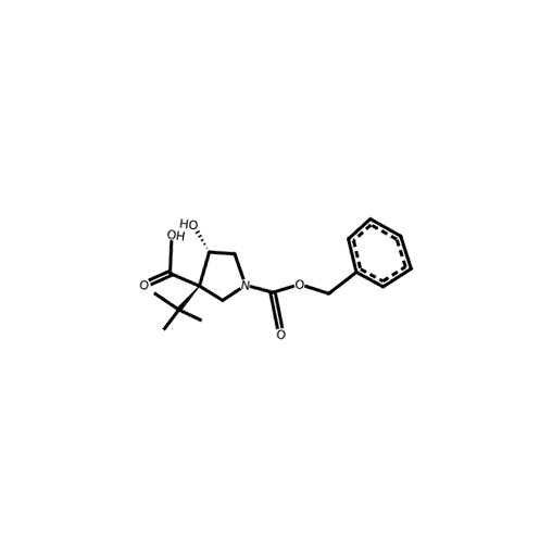 CC(C)(C)[C@]1(C(=O)O)CN(C(=O)OCc2ccccc2)C[C@H]1O